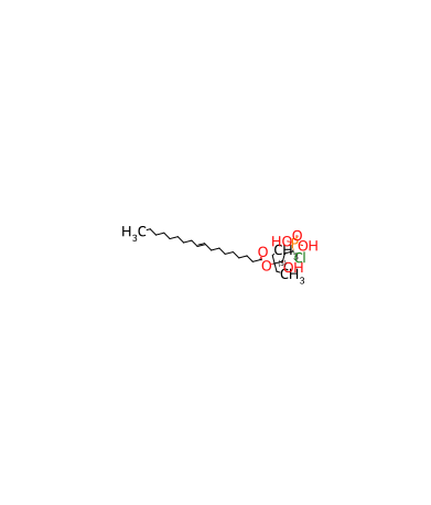 CCCCCCCCC=CCCCCCCCC(=O)OC(CC)(CC)[C@@H](O)CC(Cl)P(=O)(O)O